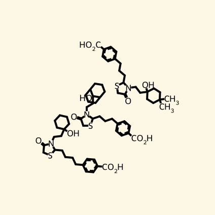 CC1(C)CCC(O)(CCN2C(=O)CSC2CCCc2ccc(C(=O)O)cc2)CC1.O=C(O)c1ccc(CCCC2SCC(=O)N2CCC2(O)C3CCCC2CCC3)cc1.O=C(O)c1ccc(CCCCC2SCC(=O)N2CCC2(O)CCCCC2)cc1